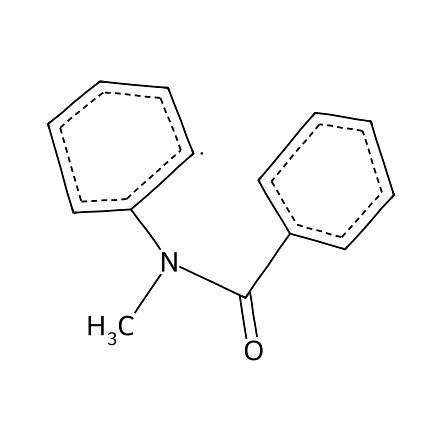 CN(C(=O)c1ccccc1)c1[c]cccc1